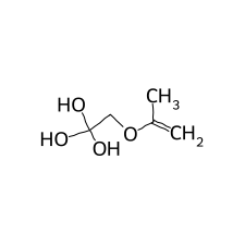 C=C(C)OCC(O)(O)O